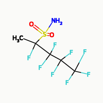 CC(F)(C(F)(F)C(F)(F)C(F)(F)F)S(N)(=O)=O